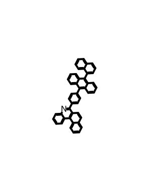 c1ccc2c(-c3c4ccccc4c(-c4ccc(-c5nc6ccccc6c6c5ccc5ccccc56)cc4)c4ccccc34)cccc2c1